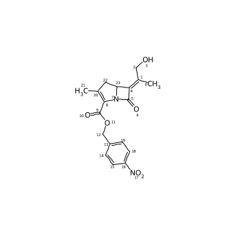 CC(CO)=C1C(=O)N2C(C(=O)OCc3ccc([N+](=O)[O-])cc3)=C(C)CC12